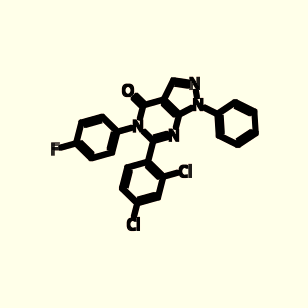 O=c1c2cnn(-c3ccccc3)c2nc(-c2ccc(Cl)cc2Cl)n1-c1ccc(F)cc1